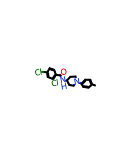 Cc1ccc(N2CCC(NC(=O)c3ccc(Cl)cc3Cl)CC2)cc1